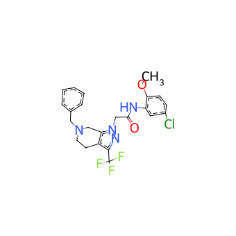 COc1ccc(Cl)cc1NC(=O)Cn1nc(C(F)(F)F)c2c1CN(Cc1ccccc1)CC2